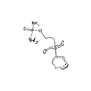 NP(N)(=S)OCCS(=O)(=O)c1ccccc1